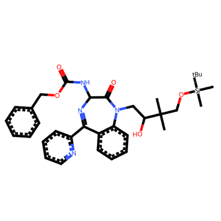 CC(C)(CO[Si](C)(C)C(C)(C)C)C(O)CN1C(=O)C(NC(=O)OCc2ccccc2)N=C(c2ccccn2)c2ccccc21